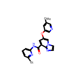 CCc1cccc(NC(=O)c2cc(Oc3cncc(OC)c3)cn3ccnc23)n1